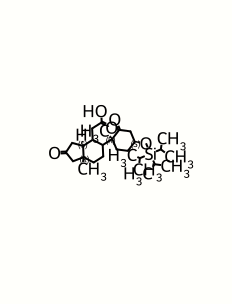 CC(C)[Si](O[C@H]1CC[C@](C)(C2CC[C@]3(C)CC(=O)C[C@H]3C2CC(=O)O)C(=O)C1)(C(C)C)C(C)C